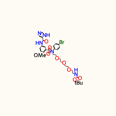 COc1ccc(NC(=O)c2cnc[nH]2)cc1S(=O)(=O)N(CCOCCOCCOCCNC(=O)OC(C)(C)C)c1ccc(Br)cc1